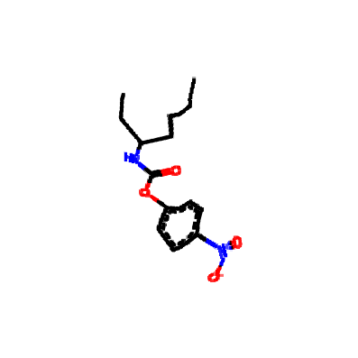 CCCCC(CC)NC(=O)Oc1ccc([N+](=O)[O-])cc1